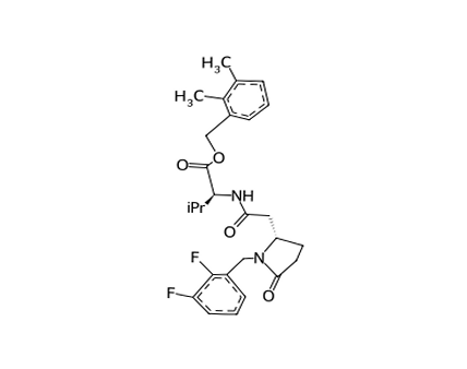 Cc1cccc(COC(=O)[C@@H](NC(=O)C[C@@H]2CCC(=O)N2Cc2cccc(F)c2F)C(C)C)c1C